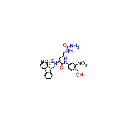 NC(=O)NCCC[C@@H](C(=O)Nc1ccc(CO)c([N+](=O)[O-])c1)N(CC1c2ccccc2-c2ccccc21)C(=O)O